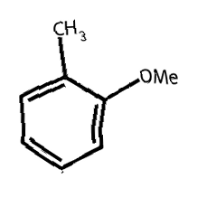 COc1c[c]ccc1C